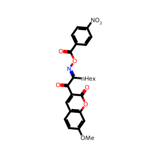 CCCCCC/C(=N\OC(=O)c1ccc([N+](=O)[O-])cc1)C(=O)c1cc2ccc(OC)cc2oc1=O